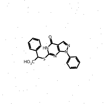 O=C(O)C(Sc1nc2c(cnn2-c2ccccc2)c(=O)[nH]1)c1ccccc1